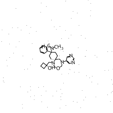 CN(C)[C@]1(c2ccccc2)CC[C@]2(CC1)CN(c1cncnc1)COCN2CC1(O)CCC1